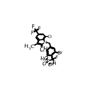 Cc1c(C)n(Cc2ccc(C(F)(F)P(=O)(O)O)c(Br)c2)c2c(Cl)cc(C(F)(F)F)cc12